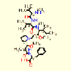 CC[C@H](C)C([C@@H](CCN1CCC[C@H]1C(OC)[C@@H](C)C(=O)N[C@@H](Cc1ccccc1)C(=O)O)OC)N(C)C(=O)[C@@H](NC(=O)[C@@H](NC)C(C)C)C(C)C